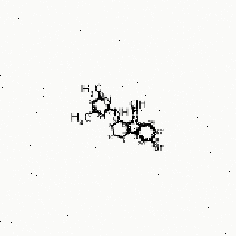 Cc1cc(C)nc(NC2CCCc3c2[nH]c2ccc(Br)cc32)n1.Cl